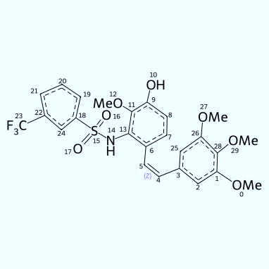 COc1cc(/C=C\c2ccc(O)c(OC)c2NS(=O)(=O)c2cccc(C(F)(F)F)c2)cc(OC)c1OC